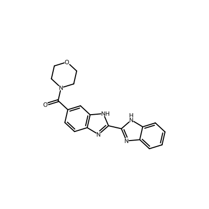 O=C(c1ccc2nc(-c3nc4ccccc4[nH]3)[nH]c2c1)N1CCOCC1